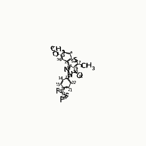 COc1ccc2sc(C)c3c(=O)n(-c4ccc(C(F)(F)F)cc4)nc-3c2c1